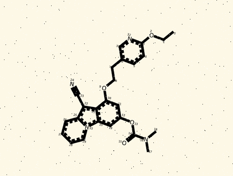 CCOc1ccc(CCOc2cc(OC(=O)N(C)C)cc3c2c(C#N)c2ccccn23)cn1